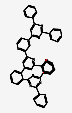 c1ccc(-c2cc(-c3ccnc(-c4cc(-c5ccccc5-c5nc(-c6ccccc6)nc(-c6ccccc6)n5)cc(-c5ccccn5)n4)c3)nc(-c3ccccc3)n2)cc1